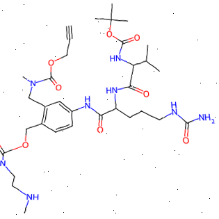 C#CCOC(=O)N(C)Cc1cc(NC(=O)C(CCCNC(N)=O)NC(=O)C(NC(=O)OC(C)(C)C)C(C)C)ccc1COC(=O)N(C)CCNC